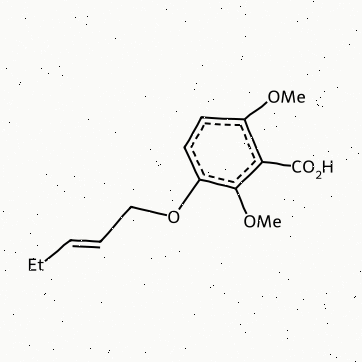 CCC=CCOc1ccc(OC)c(C(=O)O)c1OC